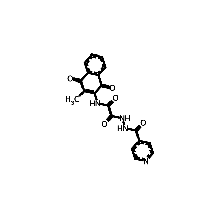 CC1=C(NC(=O)C(=O)NNC(=O)c2ccncc2)C(=O)c2ccccc2C1=O